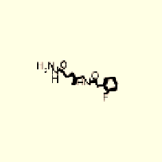 C=C(CCC(=O)NN)CNC(=O)Cc1ccccc1F